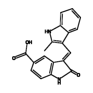 Cc1[nH]c2ccccc2c1C=C1C(=O)Nc2ccc(C(=O)O)cc21